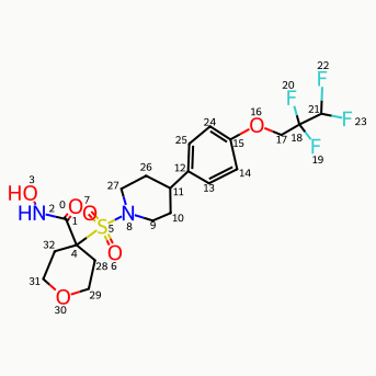 O=C(NO)C1(S(=O)(=O)N2CCC(c3ccc(OCC(F)(F)C(F)F)cc3)CC2)CCOCC1